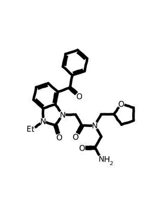 CCn1c(=O)n(CC(=O)N(CC(N)=O)CC2CCCO2)c2c(C(=O)c3ccccc3)cccc21